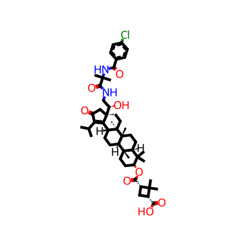 CC(C)C1=C2[C@H]3CC[C@@H]4[C@@]5(C)CC[C@H](OC(=O)[C@H]6C[C@@H](C(=O)O)C6(C)C)C(C)(C)[C@@H]5CC[C@@]4(C)[C@]3(C)CC[C@@]2([C@@H](O)CNC(=O)C(C)(C)NC(=O)c2ccc(Cl)cc2)CC1=O